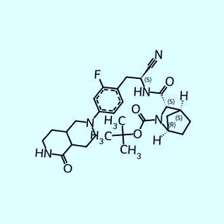 CC(C)(C)OC(=O)N1[C@@H]2CC[C@@H](C2)[C@H]1C(=O)N[C@H](C#N)Cc1ccc(N2CCC3C(=O)NCCC3C2)cc1F